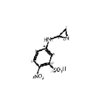 O=[N+]([O-])c1ccc(NC2C[N]2)cc1S(=O)(=O)O